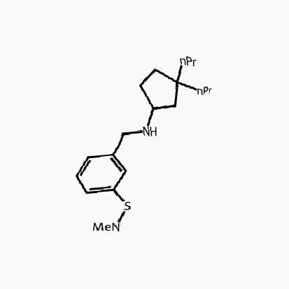 CCCC1(CCC)CCC(NCc2cccc(SNC)c2)C1